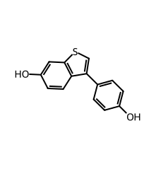 Oc1ccc(-c2csc3cc(O)ccc23)cc1